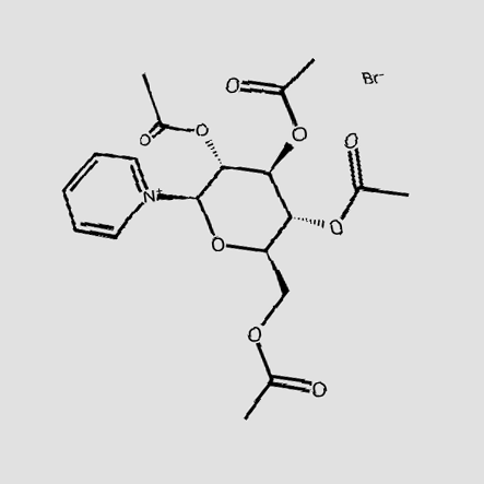 CC(=O)OC[C@H]1O[C@@H]([n+]2ccccc2)[C@H](OC(C)=O)[C@@H](OC(C)=O)[C@@H]1OC(C)=O.[Br-]